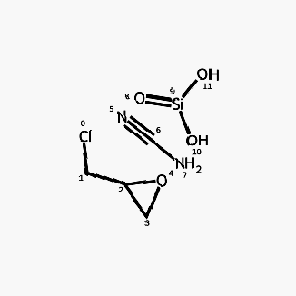 ClCC1CO1.N#CN.O=[Si](O)O